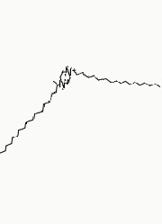 CCCCCCCCCCCCCCCCCC[N+]1(C)CC[N+](C)(C(C)CCCCCCCCCCCCCCCC)CC1